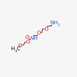 COCCOC(=O)NCCOCCOCCN